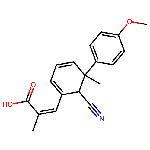 COc1ccc(C2(C)C=CC=C(C=C(C)C(=O)O)C2C#N)cc1